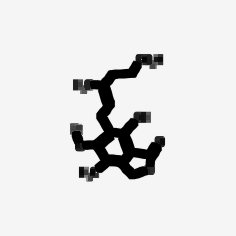 CCOc1c(C)c2c(c(O)c1C/C=C(\C)CCC(=O)O)C(=O)OC2